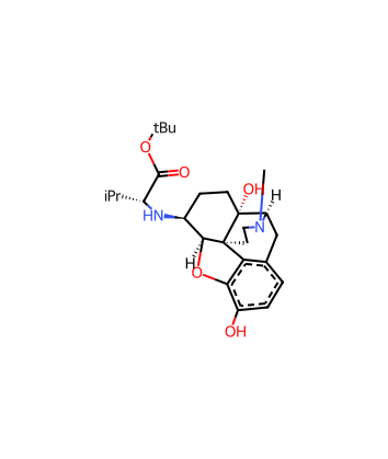 CC(C)[C@@H](N[C@H]1CC[C@@]2(O)[C@H]3Cc4ccc(O)c5c4[C@@]2(CCN3C)[C@H]1O5)C(=O)OC(C)(C)C